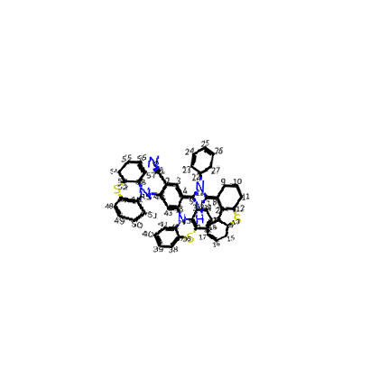 N#CC1C=C(C2NC(C3CCCC4SC5CC=CCC5C43)N2C2C=CC=CC2)C(N2C3=C(C=CCC3)Sc3ccccc32)=CC1N1C2=C(C=CCC2)SC2CCC=CC21